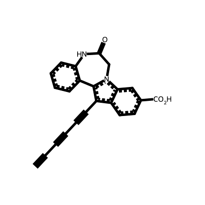 C#CC#CC#Cc1c2n(c3cc(C(=O)O)ccc13)CC(=O)Nc1ccccc1-2